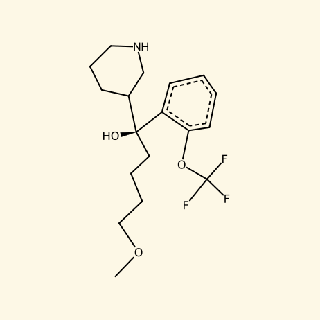 COCCCC[C@@](O)(c1ccccc1OC(F)(F)F)C1CCCNC1